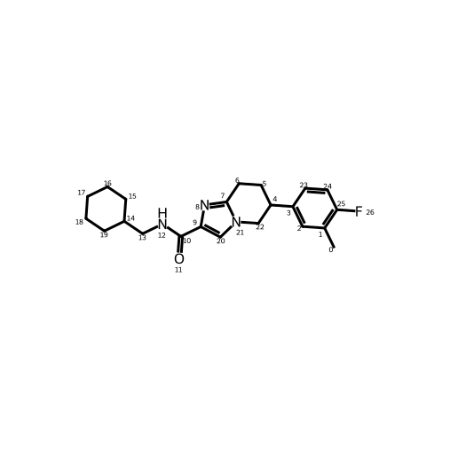 Cc1cc(C2CCc3nc(C(=O)NCC4CCCCC4)cn3C2)ccc1F